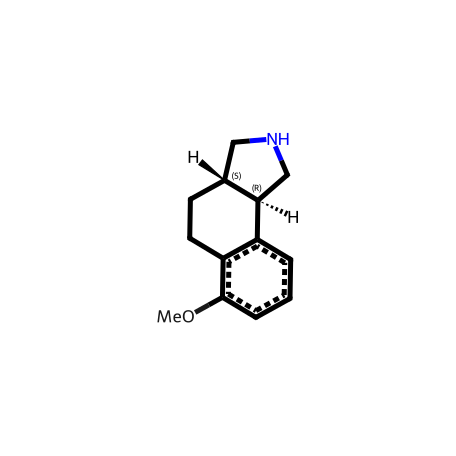 COc1cccc2c1CC[C@@H]1CNC[C@@H]21